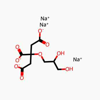 O=C([O-])CC(CC(=O)[O-])(OCC(O)CO)C(=O)[O-].[Na+].[Na+].[Na+]